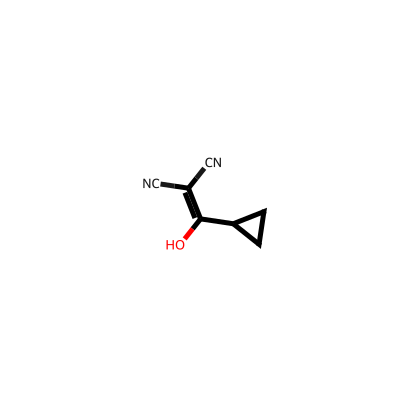 N#CC(C#N)=C(O)C1CC1